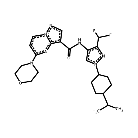 CC(C)C1CCC(n2cc(NC(=O)c3cnn4ccc(N5CCOCC5)nc34)c(C(F)F)n2)CC1